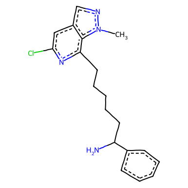 Cn1ncc2cc(Cl)nc(CCCCCC(N)c3ccccc3)c21